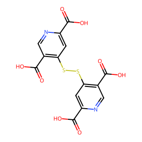 O=C(O)c1cc(SSc2cc(C(=O)O)ncc2C(=O)O)c(C(=O)O)cn1